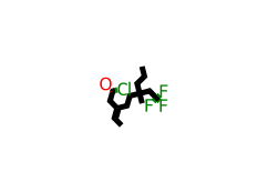 C/C=C(\CCC(C)(CCC)CC(F)(F)F)CC(=O)Cl